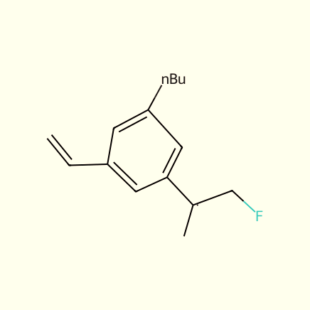 C=Cc1cc(CCCC)cc([C](C)CF)c1